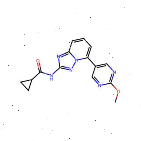 COc1ncc(-c2cccc3nc(NC(=O)C4CC4)nn23)cn1